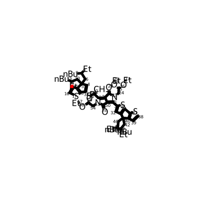 C=C(SC1=CC(CC(CC)CCCC)(CC(CC)CCCC)c2ccsc21)C1=C2C(=O)N(CC(OCC)OCC)C(c3cc4c(s3)-c3sccc3C4(CC(CC)CCCC)CC(CC)CCCC)=C2C(=O)N1CC(OCC)OCC